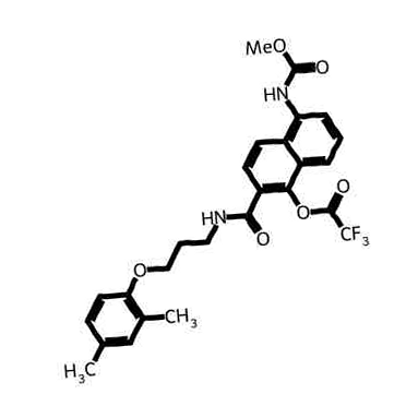 COC(=O)Nc1cccc2c(OC(=O)C(F)(F)F)c(C(=O)NCCCOc3ccc(C)cc3C)ccc12